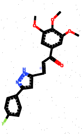 COc1cc(C(=O)/C=C/c2cc(-c3ccc(F)cc3)n[nH]2)cc(OC)c1OC